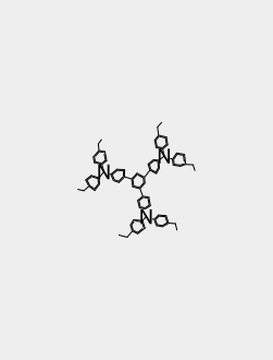 CCc1ccc(N(c2ccc(CC)cc2)c2ccc(-c3cc(-c4ccc(N(c5ccc(CC)cc5)c5ccc(CC)cc5)cc4)cc(-c4ccc(N(c5ccc(CC)cc5)c5ccc(CC)cc5)cc4)c3)cc2)cc1